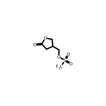 O=C1CC(COS(=O)(=O)C(F)(F)F)CO1